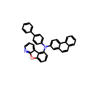 c1ccc(-c2ccc(N(c3ccc4c(ccc5ccccc54)c3)c3cccc4oc5ncccc5c34)cc2)cc1